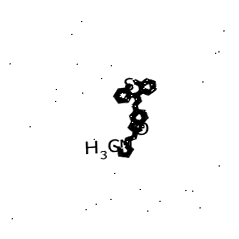 C[C@@H]1CCCN1CCc1cc2cc(CC=C3c4ccccc4CSc4ccccc43)ccc2o1